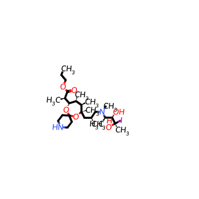 CCCOC(=O)[C@H](C)[C@H]1OC2(CCNCC2)O[C@](C)(C[C@@H](C)CN(C)[C@H](C)[C@@H](O)[C@](C)(O)I)[C@H](C)[C@H]1C